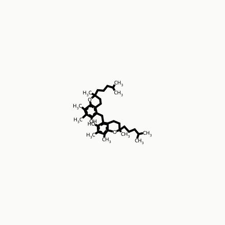 Cc1c(C)c2c(c(Cc3c(O)c(C)c(C)c4c3CCC(C)(CCCC(C)C)O4)c1O)CCC(C)(CCCC(C)C)O2